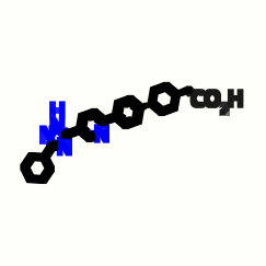 O=C(O)C[C@H]1CC[C@H](c2ccc(-c3ccc(-c4nc(C5CCCCC5)n[nH]4)cn3)cc2)CC1